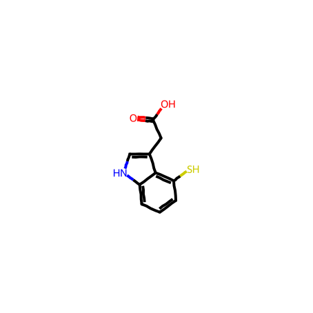 O=C(O)Cc1c[nH]c2cccc(S)c12